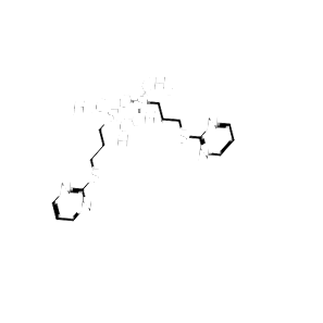 C[Si](C)(CCCSc1ncccn1)O[Si](C)(C)CCCSc1ncccn1